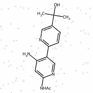 CC(=O)Nc1cc(N)c(-c2ccc(C(C)(C)O)cn2)cn1